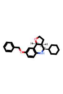 c1ccc(COc2ccc3c(c2)[C@H]2OCC[C@H]2[C@@H](C2CCCCC2)N3)cc1